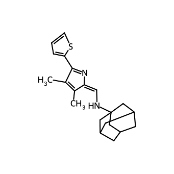 CC1=C(C)/C(=C\NC23CC4CC(CC(C4)C2)C3)N=C1c1cccs1